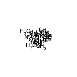 CC[C@@H](C#N)NC(=O)[C@@H]1[C@@H]2[C@H](CN1C(=O)[C@@H](NC(=O)C(F)(F)C(F)(F)Cl)C(C)(C)C)C2(C)C